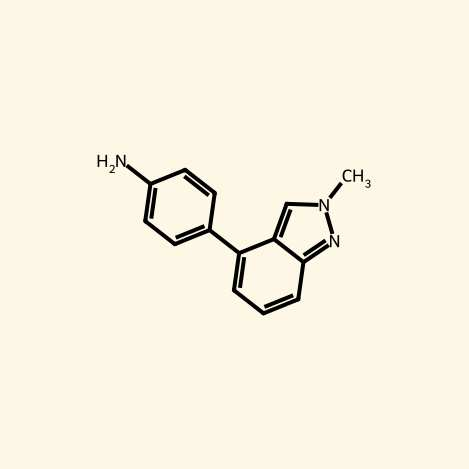 Cn1cc2c(-c3ccc(N)cc3)cccc2n1